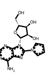 Nc1ncnc2c1nc(-n1cccc1)n2[C@@H]1O[C@H](CO)[C@@H](O)[C@H]1O